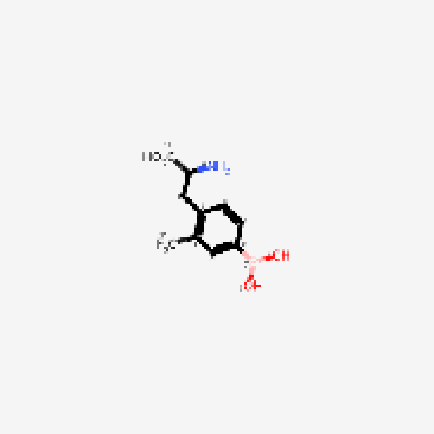 NC(Cc1ccc(B(O)O)cc1C(F)(F)F)C(=O)O